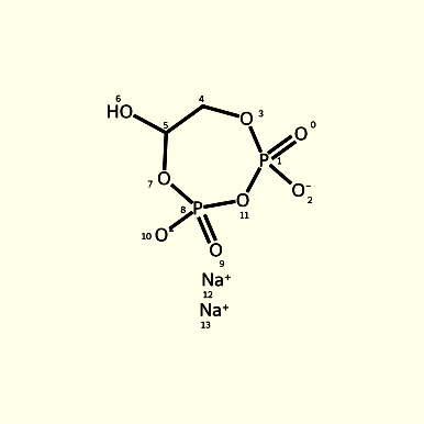 O=P1([O-])OCC(O)OP(=O)([O-])O1.[Na+].[Na+]